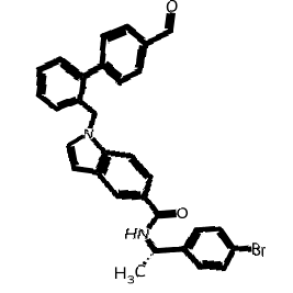 C[C@H](NC(=O)c1ccc2c(ccn2Cc2ccccc2-c2ccc(C=O)cc2)c1)c1ccc(Br)cc1